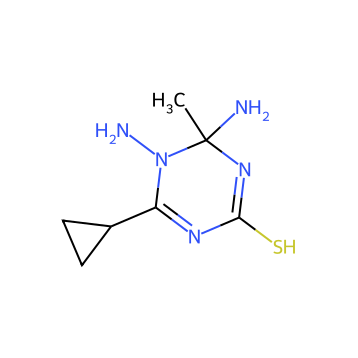 CC1(N)N=C(S)N=C(C2CC2)N1N